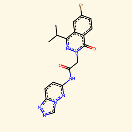 CC(C)c1nn(CC(=O)Nc2ccc3nncn3n2)c(=O)c2ccc(Br)cc12